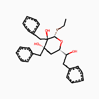 CCS[C@@H]1O[C@H](C(O)Cc2ccccc2)C[C@@](O)(Cc2ccccc2)[C@]1(O)Cc1ccccc1